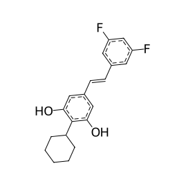 Oc1cc(C=Cc2cc(F)cc(F)c2)cc(O)c1C1CCCCC1